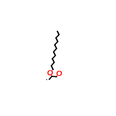 [CH2]C(C=O)OCCCCCCCCCCCC